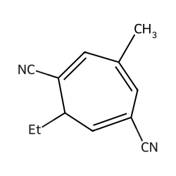 CCC1C=C(C#N)C=C(C)C=C1C#N